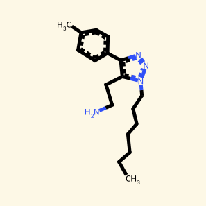 CCCCCCCn1nnc(-c2ccc(C)cc2)c1CCN